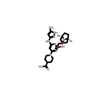 Cc1cc(Nc2cc(N3CCC(C(=O)O)CC3)nc(N[C@@H]3C[C@H]4CC[C@@H](C3)N4CCC#N)n2)n[nH]1